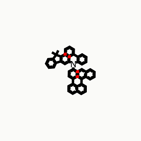 CC1(C)c2ccccc2-c2cc(N(c3ccc(-c4cccc5cccc(-c6cccc7ccccc67)c45)cc3)c3ccccc3-c3ccccc3)ccc21